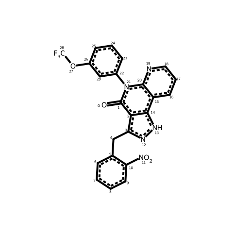 O=c1c2c(Cc3ccccc3[N+](=O)[O-])n[nH]c2c2cccnc2n1-c1cccc(OC(F)(F)F)c1